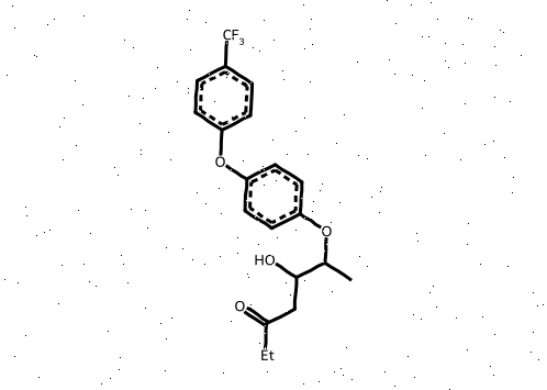 CCC(=O)CC(O)C(C)Oc1ccc(Oc2ccc(C(F)(F)F)cc2)cc1